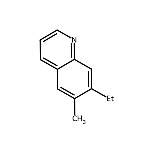 CCc1cc2ncccc2cc1C